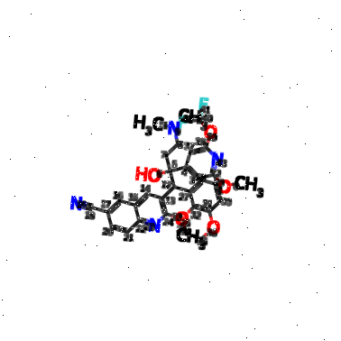 COc1cc(C(O)(CCN(C)C)C(c2cc3cc(C#N)ccc3nc2OC)c2cccc3c2OCCO3)cc(OC(F)F)n1